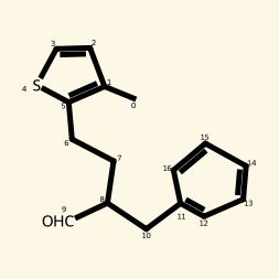 Cc1ccsc1CCC(C=O)Cc1ccccc1